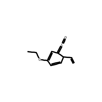 C=CC1C=CC(OCC)=CC1=C=O